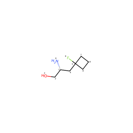 N[C@@H](CO)CC1(F)CCC1